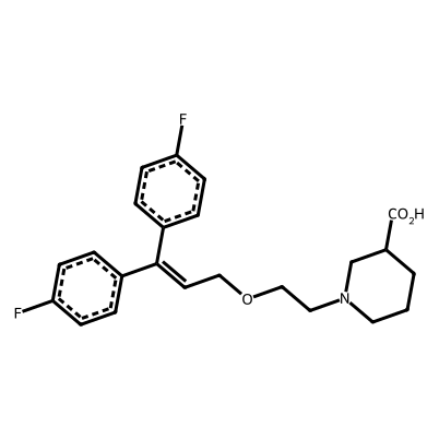 O=C(O)C1CCCN(CCOCC=C(c2ccc(F)cc2)c2ccc(F)cc2)C1